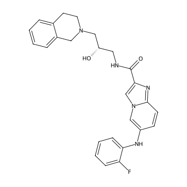 O=C(NC[C@H](O)CN1CCc2ccccc2C1)c1cn2cc(Nc3ccccc3F)ccc2n1